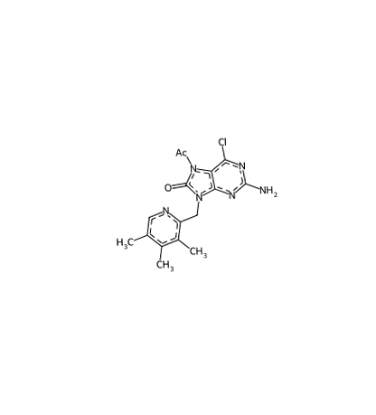 CC(=O)n1c(=O)n(Cc2ncc(C)c(C)c2C)c2nc(N)nc(Cl)c21